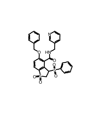 O=C(NCc1cccnc1)c1c(OCc2ccccc2)ccc2c1C(S(=O)(=O)c1ccccc1)CS2(=O)=O